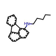 CCCCCNc1ccc2cccc3c2c1-c1ccccc1-3